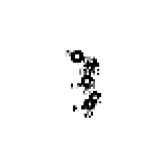 COc1cc2nccc(Oc3ncc(NC(=O)C4(C(=O)Nc5ccc(F)cc5)CC4)cc3Cl)c2cc1Br